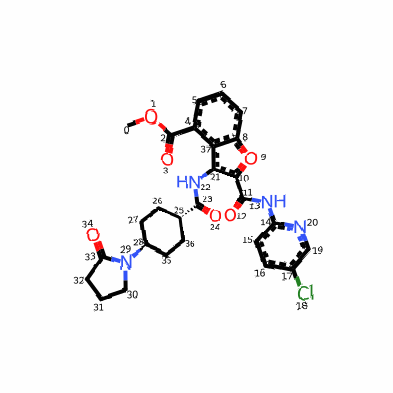 COC(=O)c1cccc2oc(C(=O)Nc3ccc(Cl)cn3)c(NC(=O)[C@H]3CC[C@H](N4CCCC4=O)CC3)c12